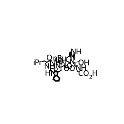 CCCC[C@H](NC(=O)[C@H](N)CC(C)C)C(=O)N[C@H](Cc1c[nH]c2ccccc12)C(=O)N[C@@H](Cc1c[nH]cn1)C(=O)N[C@H](CO)C(=O)NCC(=O)O